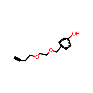 C#CCCOCCOCc1ccc(O)cc1